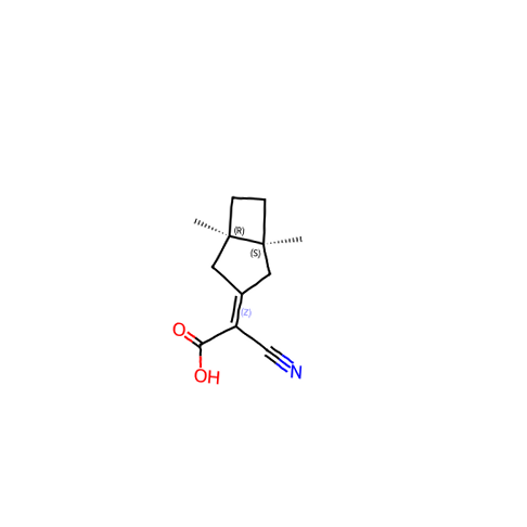 C[C@@]12CC[C@]1(C)C/C(=C(/C#N)C(=O)O)C2